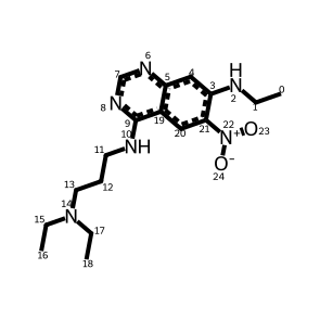 CCNc1cc2ncnc(NCCCN(CC)CC)c2cc1[N+](=O)[O-]